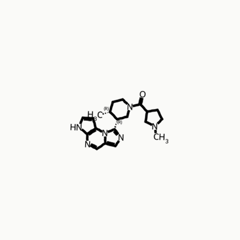 C[C@@H]1CCN(C(=O)C2CCN(C)C2)C[C@@H]1c1ncc2cnc3[nH]ccc3n12